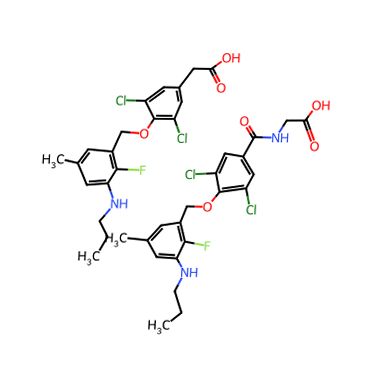 CCCNc1cc(C)cc(COc2c(Cl)cc(C(=O)NCC(=O)O)cc2Cl)c1F.CCCNc1cc(C)cc(COc2c(Cl)cc(CC(=O)O)cc2Cl)c1F